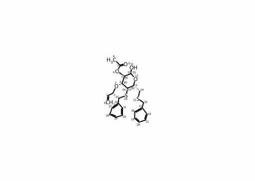 C=CCO[C@@H]1[C@@H](OC(C)=O)[C@@H](O)O[C@H](CSCc2ccccc2)[C@H]1SCc1ccccc1